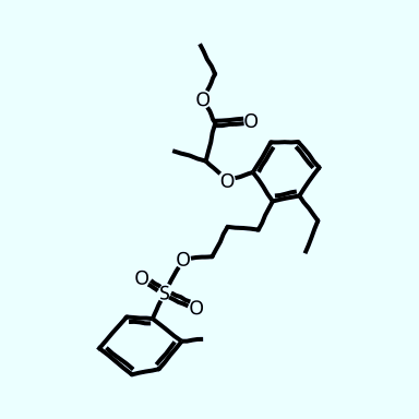 CCOC(=O)C(C)Oc1cccc(CC)c1CCCOS(=O)(=O)c1ccccc1C